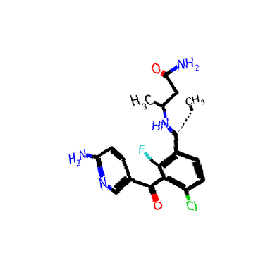 CC[C@@H](NC(C)CC(N)=O)c1ccc(Cl)c(C(=O)c2ccc(N)nc2)c1F